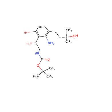 BC(CNC(=O)OC(C)(C)C)c1c(Br)ccc(CCC(C)(C)O)c1N